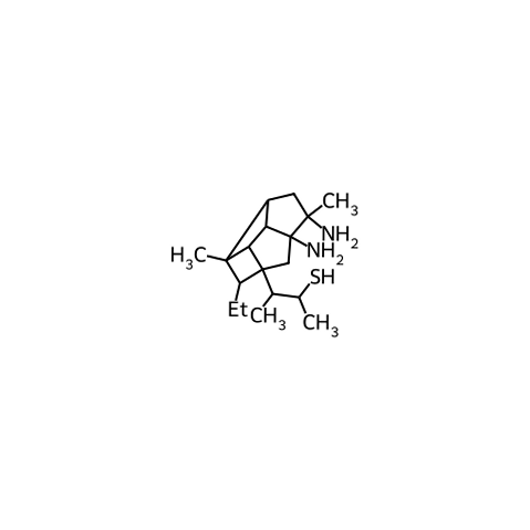 CCC1C2(C)C3CC(C)(N)C4(N)CC1(C(C)C(C)S)C2C34